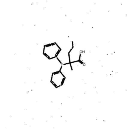 CCCC(C)(C(=O)O)P(c1ccccc1)c1ccccc1